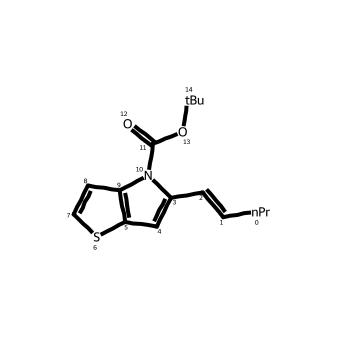 CCCC=Cc1cc2sccc2n1C(=O)OC(C)(C)C